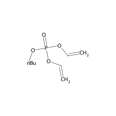 C=COP(=O)(OC=C)OCCCC